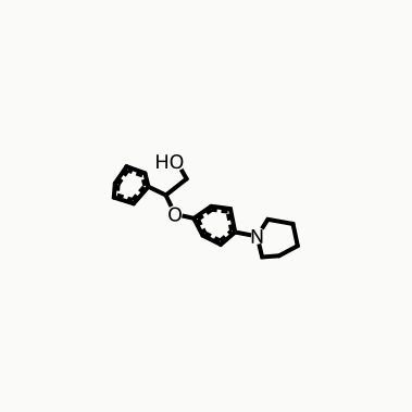 OCC(Oc1ccc(N2CCCCC2)cc1)c1ccccc1